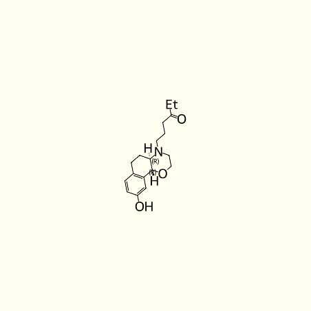 CCC(=O)CCCN1CCO[C@@H]2c3cc(O)ccc3CC[C@H]21